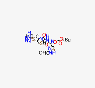 CC(C)(C)OC(=O)CON=C(C(=O)NC1C(=O)N2C(C(=O)O)=C(CSc3nnn[nH]3)CS[C@@H]12)c1csc(NC=O)n1